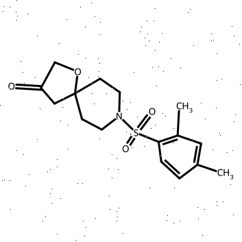 Cc1ccc(S(=O)(=O)N2CCC3(CC2)CC(=O)CO3)c(C)c1